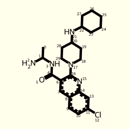 CC(N)NC(=O)c1cc2ccc(Cl)cc2nc1N1CCC(NC2CCCCC2)CC1